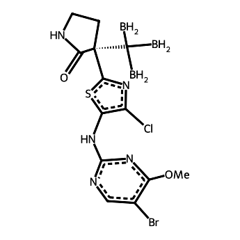 BC(B)(B)[C@@]1(c2nc(Cl)c(Nc3ncc(Br)c(OC)n3)s2)CCNC1=O